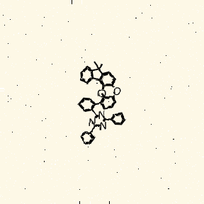 CC1(C)c2ccccc2-c2c1ccc1c2Oc2c(cccc2-c2ccccc2-c2nc(-c3ccccc3)nc(-c3ccccc3)n2)O1